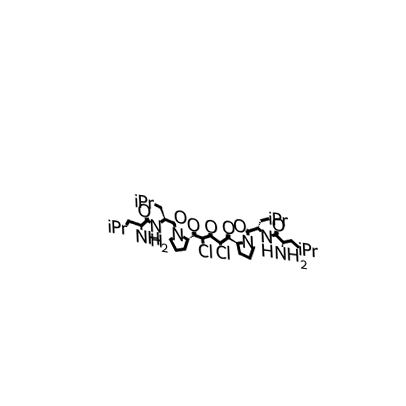 CC(C)C[C@H](NC(=O)[C@@H](N)CC(C)C)C(=O)N1CCC[C@H]1C(=O)C(Cl)C(=O)C(Cl)C(=O)[C@@H]1CCCN1C(=O)[C@H](CC(C)C)NC(=O)[C@@H](N)CC(C)C